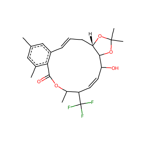 Cc1cc(C)c2c(c1)/C=C/C[C@@H]1OC(C)(C)OC1C(O)/C=C\C(C(F)(F)F)C(C)OC2=O